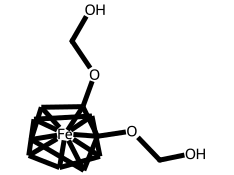 OCO[C]12[CH]3[CH]4[CH]5[C]1(OCO)[Fe]43521678[CH]2[CH]1[CH]6[CH]7[CH]28